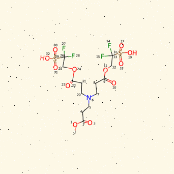 COC(=O)CCN(CCC(=O)OCC(F)(F)S(=O)(=O)O)CCC(=O)OCC(F)(F)S(=O)(=O)O